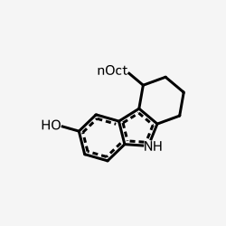 CCCCCCCCC1CCCc2[nH]c3ccc(O)cc3c21